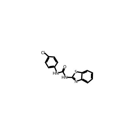 O=C(Nc1ccc(Cl)cc1)Nc1nc2ccccc2s1